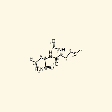 CSCCC(NC=O)C(=O)NC(CC(C)C)C(N)=O